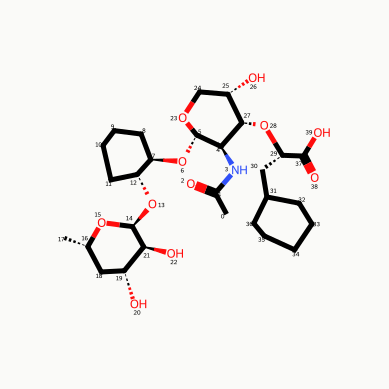 CC(=O)N[C@H]1[C@H](O[C@@H]2CCCC[C@H]2O[C@@H]2O[C@@H](C)C[C@@H](O)[C@@H]2O)OC[C@H](O)[C@@H]1O[C@@H](CC1CCCCC1)C(=O)O